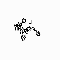 Cl.c1ccc(-c2cc(Nc3nc(N4CCOCC4)c4oc5nc(OCCN6CCCC6)ccc5c4n3)[nH]n2)cc1